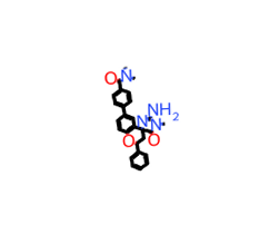 CN(C)C(=O)c1ccc(-c2ccc3c(c2)C2(CC(c4ccccc4)O3)N=C(N)N(C)C2=O)cc1